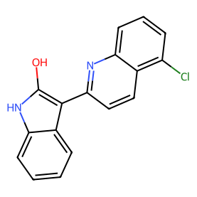 Oc1[nH]c2ccccc2c1-c1ccc2c(Cl)cccc2n1